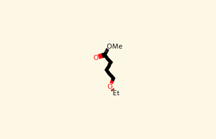 CCO[CH]CCC(=O)OC